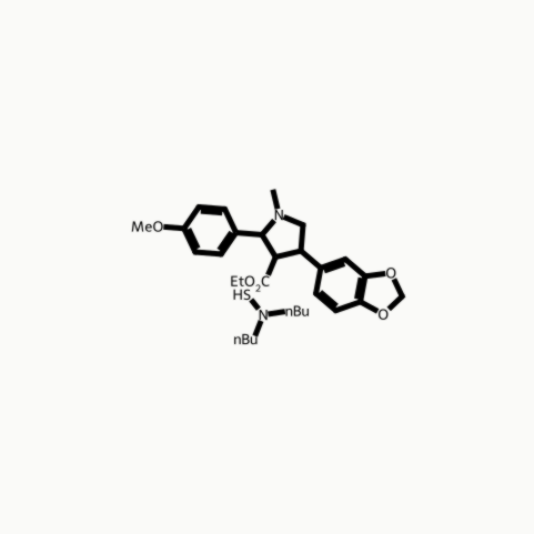 CCCCN(S)CCCC.CCOC(=O)C1C(c2ccc3c(c2)OCO3)CN(C)C1c1ccc(OC)cc1